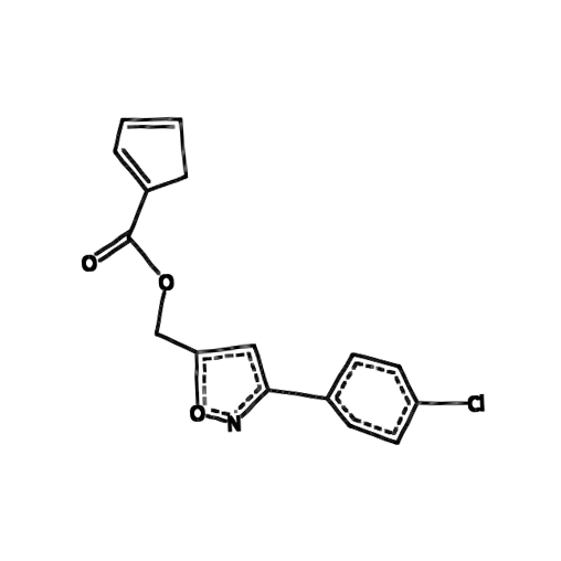 O=C(OCc1cc(-c2ccc(Cl)cc2)no1)C1=CC=CC1